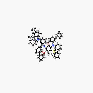 Cc1cc2c3c(c1)N(c1cccc4c1sc1ccccc14)c1cc(-c4ccccc4)ccc1B3c1ccc(N3c4ccc(C(C)(C)C)cc4C4(C)CCCCC34C)cc1N2c1cccc2c1oc1ccccc12